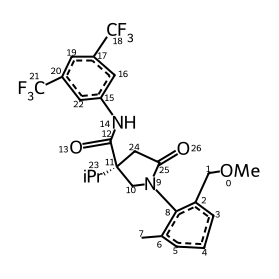 COCc1cccc(C)c1N1C[C@](C(=O)Nc2cc(C(F)(F)F)cc(C(F)(F)F)c2)(C(C)C)CC1=O